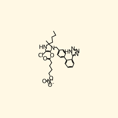 CCCCC1(C)NC(Cl)=C(OC(=O)CCCCO[N+](=O)[O-])N1Cc1ccc(-c2ccccc2-c2nnn[nH]2)cc1